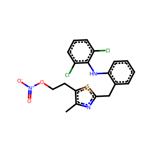 Cc1nc(Cc2ccccc2Nc2c(Cl)cccc2Cl)sc1CCO[N+](=O)[O-]